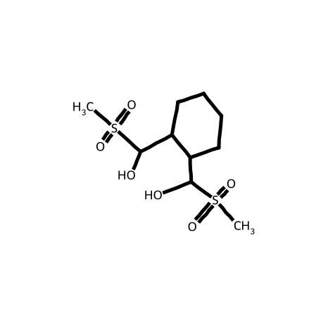 CS(=O)(=O)C(O)C1CCCCC1C(O)S(C)(=O)=O